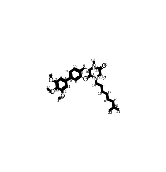 COc1cc(-c2ccc(C[C@H]3C(=O)N(CCCCCCC(C)C)[C@@H](C)C(=O)N3C)cc2)cc(OC)c1OC